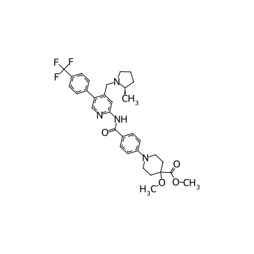 COC(=O)C1(OC)CCN(c2ccc(C(=O)Nc3cc(CN4CCC[C@H]4C)c(-c4ccc(C(F)(F)F)cc4)cn3)cc2)CC1